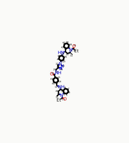 CCC(=O)N1c2ccccc2C(NCc2ccc(C(=O)NCc3cn(-c4ccc(N[C@@H]5C[C@H](C)N(C(=O)CC)c6ccccc65)cc4)nn3)cc2)CC1C